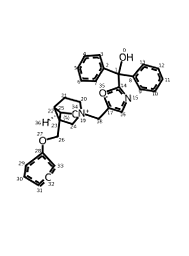 OC(c1ccccc1)(c1ccccc1)c1ncc(C[N+]23CCC(CC2)[C@H](COc2ccccc2)C3)o1